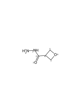 NNC(=O)C1COC1